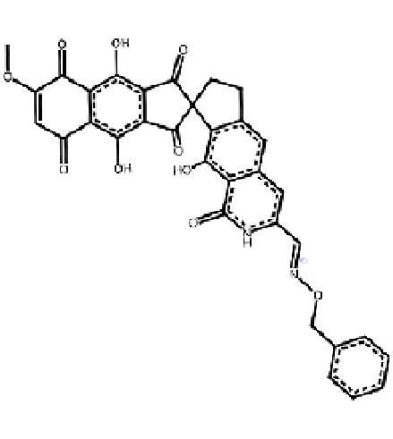 COC1=CC(=O)c2c(O)c3c(c(O)c2C1=O)C(=O)C1(CCc2cc4cc(/C=N/OCc5ccccc5)[nH]c(=O)c4c(O)c21)C3=O